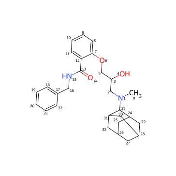 CN(CC(O)COc1ccccc1C(=O)NCc1ccccc1)C1C2CC3CC(C2)CC1C3